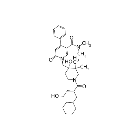 CN(C)C(=O)c1cn(C[C@]2(O)CCN(C(=O)[C@H](CCO)CC3CCCCC3)CC2(C)C)c(=O)cc1-c1ccccc1